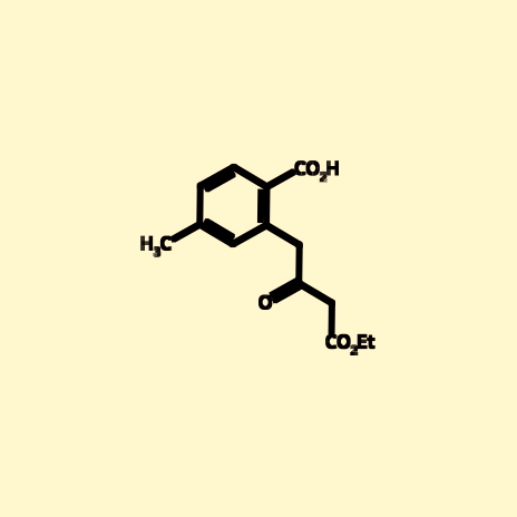 CCOC(=O)CC(=O)Cc1cc(C)ccc1C(=O)O